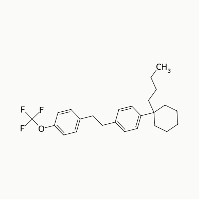 CCCCC1(c2ccc(CCc3ccc(OC(F)(F)F)cc3)cc2)CCCCC1